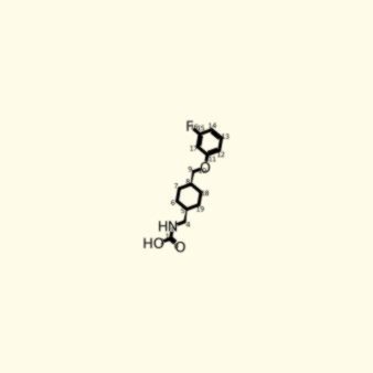 O=C(O)NC[C@H]1CC[C@@H](COc2cccc(F)c2)CC1